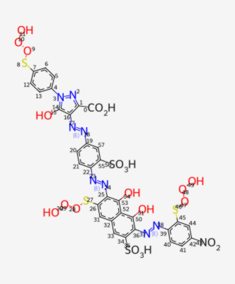 O=C(O)c1nn(-c2ccc(SOOO)cc2)c(O)c1/N=N/c1ccc(/N=N/c2c(SOOO)cc3cc(S(=O)(=O)O)c(/N=N/c4ccc([N+](=O)[O-])cc4SOOO)c(O)c3c2O)c(S(=O)(=O)O)c1